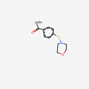 COC(=O)c1ccc(SN2CCOCC2)cc1